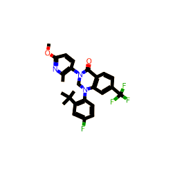 COc1ccc(N2CN(c3ccc(F)cc3C(C)(C)C)c3cc(C(F)(F)F)ccc3C2=O)c(C)n1